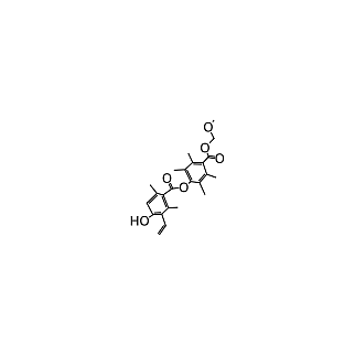 C=Cc1c(O)cc(C)c(C(=O)Oc2c(C)c(C)c(C(=O)OCOC)c(C)c2C)c1C